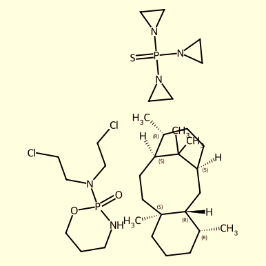 C[C@@H]1CCC[C@@]2(C)CC[C@H]3[C@H](C)CC[C@@H](C[C@H]12)C3(C)C.O=P1(N(CCCl)CCCl)NCCCO1.S=P(N1CC1)(N1CC1)N1CC1